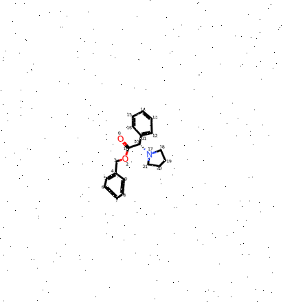 O=C(OCc1ccccc1)[C@H](c1ccccc1)N1CCCC1